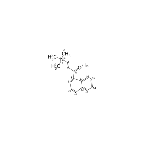 C[N+](C)(C)CCC(=O)c1cccc2ccccc12.[I-]